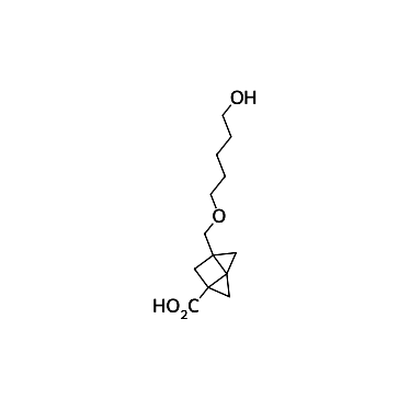 O=C(O)C12CC3(COCCCCCO)CC31C2